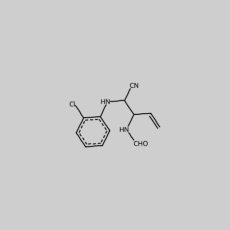 C=CC(NC=O)C(C#N)Nc1ccccc1Cl